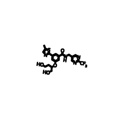 Cc1cnc(-c2cc(OC(CO)CCO)cc(C(=O)NCc3cnc(C(F)(F)F)nc3)c2)s1